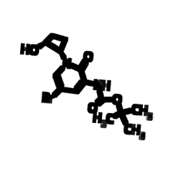 CC(C)(C)OC(=O)Nc1cc(Br)cn([C@@H]2CC[C@@H]2O)c1=O